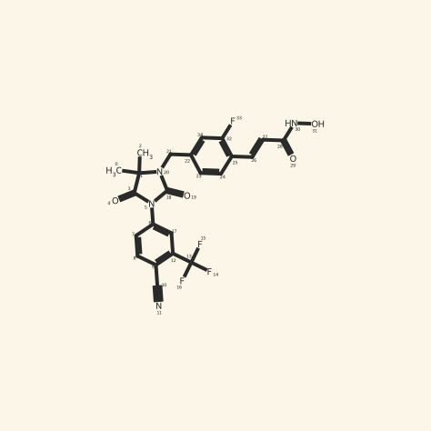 CC1(C)C(=O)N(c2ccc(C#N)c(C(F)(F)F)c2)C(=O)N1Cc1ccc(/C=C/C(=O)NO)c(F)c1